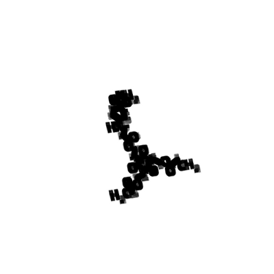 C=CC(=O)OCCn1c(=O)n(CCOC(=O)C=C)c(=O)n(CCOC(=O)CCNc2ccc(S(N)(=O)=O)cc2)c1=O